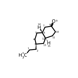 CCC[C@H]1CC[C@@H]2CC(=O)CC[C@H]2C1